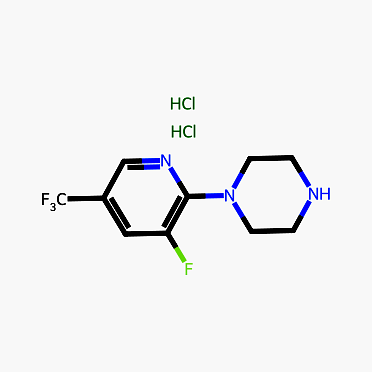 Cl.Cl.Fc1cc(C(F)(F)F)cnc1N1CCNCC1